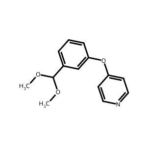 COC(OC)c1cccc(Oc2ccncc2)c1